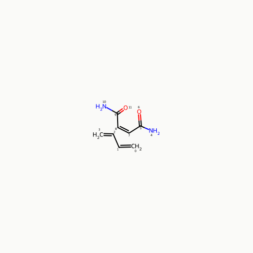 C=CC=C.NC(=O)/C=C\C(N)=O